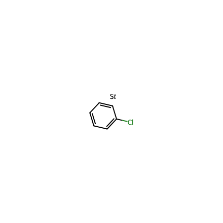 Clc1ccccc1.[Si]